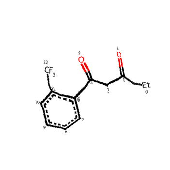 CCC(=O)CC(=O)c1ccccc1C(F)(F)F